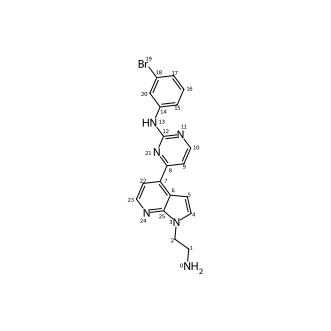 NCCn1ccc2c(-c3ccnc(Nc4cccc(Br)c4)n3)ccnc21